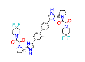 Cc1cc(-c2c[nH]c([C@@H]3CCCN3C(=O)C(=O)N3CCC(F)(F)CC3)n2)ccc1-c1ccc(-c2c[nH]c([C@@H]3CCCN3C(=O)C(=O)N3CCC(F)(F)CC3)n2)cc1